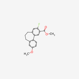 COC(=O)c1cc2c(cc1F)CCCc1cc(OC)ccc1-2